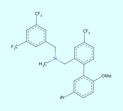 COc1ccc(C(C)C)cc1-c1ccc(C(F)(F)F)cc1CN(C)Cc1cc(C(F)(F)F)cc(C(F)(F)F)c1